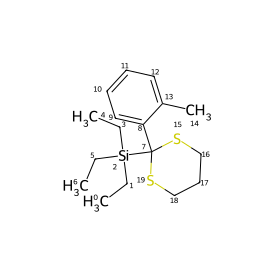 CC[Si](CC)(CC)C1(c2ccccc2C)SCCCS1